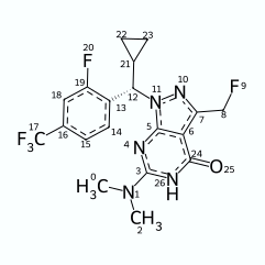 CN(C)c1nc2c(c(CF)nn2[C@H](c2ccc(C(F)(F)F)cc2F)C2CC2)c(=O)[nH]1